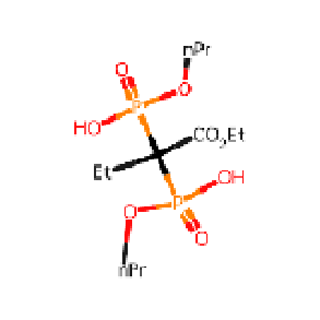 CCCOP(=O)(O)C(CC)(C(=O)OCC)P(=O)(O)OCCC